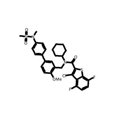 COc1ccc(-c2ccc(N(C)S(C)(=O)=O)cc2)cc1CN(C(=O)c1sc2c(F)ccc(F)c2c1Cl)C1CCCCC1